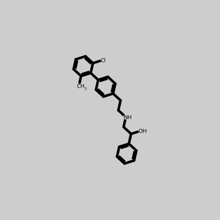 Cc1cccc(Cl)c1-c1ccc(CCNCC(O)c2ccccc2)cc1